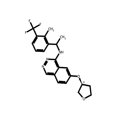 Cc1c(C(C)Nc2nncc3ccc(O[C@H]4CCOC4)cc23)cccc1C(F)(F)F